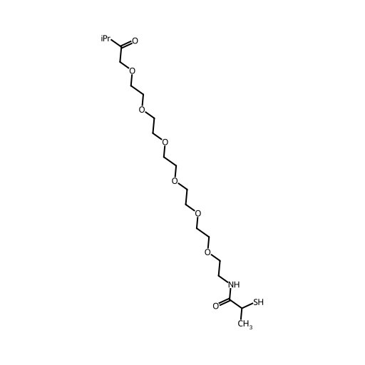 CC(C)C(=O)COCCOCCOCCOCCOCCOCCNC(=O)C(C)S